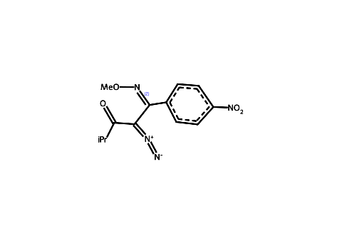 CO/N=C(\C(=[N+]=[N-])C(=O)C(C)C)c1ccc([N+](=O)[O-])cc1